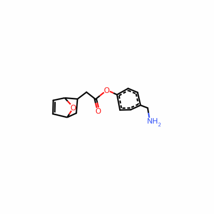 NCc1ccc(OC(=O)CC2CC3C=CC2O3)cc1